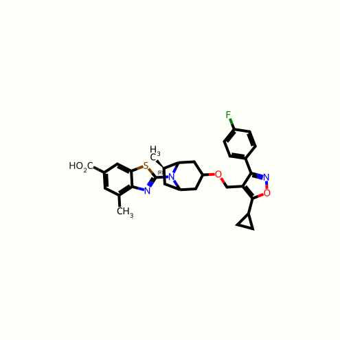 Cc1cc(C(=O)O)cc2sc(N3C4CC(OCc5c(-c6ccc(F)cc6)noc5C5CC5)CC3[C@H](C)C4)nc12